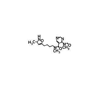 CC1C=C(CCCCN(C)C(=O)c2cncnc2N(C)C=O)ON1